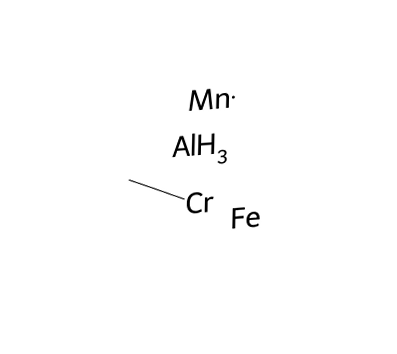 [AlH3].[CH3][Cr].[Fe].[Mn]